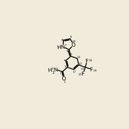 NC(=O)C1=CC(=C2NC=CO2)CC(C(F)(F)F)=C1